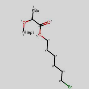 CCCCCCCOC(CCCC)C(=O)OCCCCCCBr